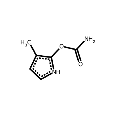 Cc1cc[nH]c1OC(N)=O